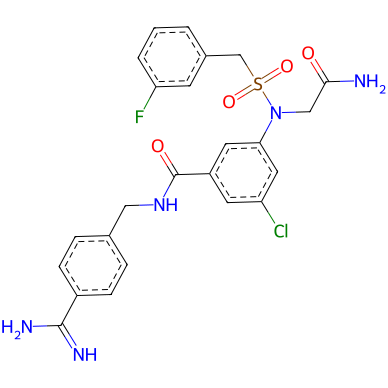 N=C(N)c1ccc(CNC(=O)c2cc(Cl)cc(N(CC(N)=O)S(=O)(=O)Cc3cccc(F)c3)c2)cc1